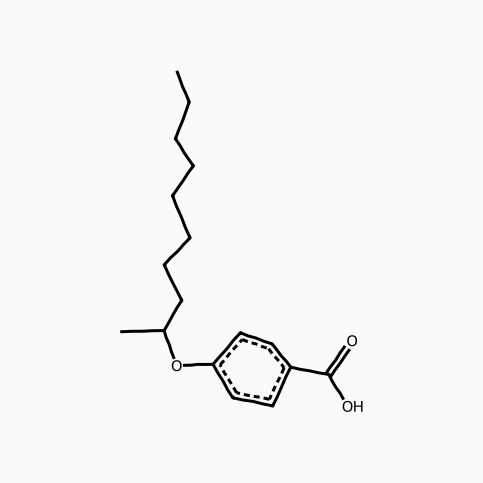 CCCCCCCCC(C)Oc1ccc(C(=O)O)cc1